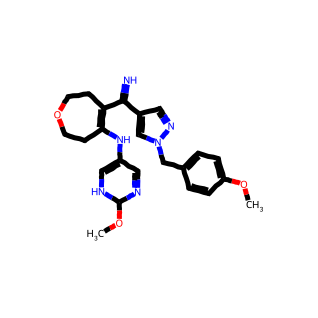 COc1ccc(Cn2cc(C(=N)C3=C(NC4=CNC(OC)N=C4)CCOCC3)cn2)cc1